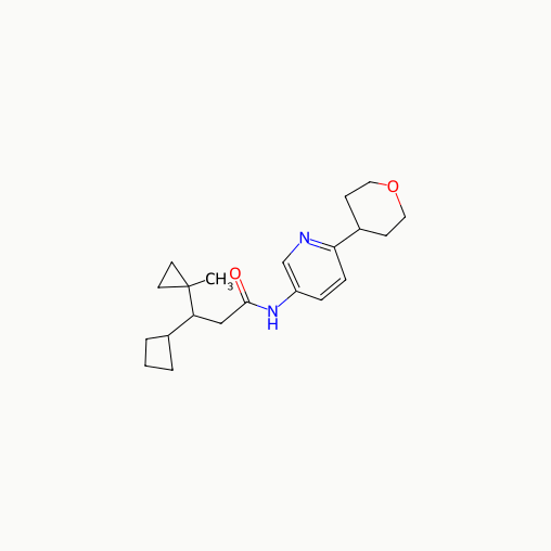 CC1(C(CC(=O)Nc2ccc(C3CCOCC3)nc2)C2CCC2)CC1